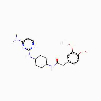 COc1ccc(CC(=O)NC2CCC(Nc3nccc(N(C)C)n3)CC2)cc1OC